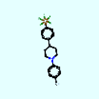 N#Cc1ccc(N2CCC(c3ccc(S(F)(F)(F)(F)F)cc3)CC2)cc1